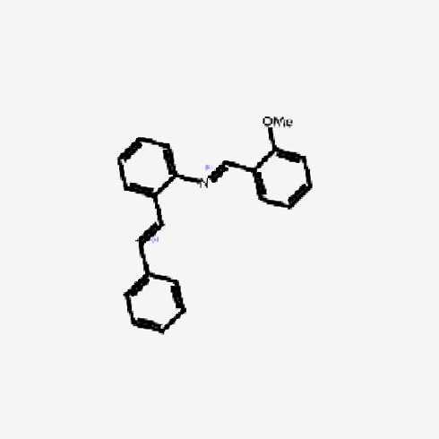 COc1ccccc1/C=N/c1ccccc1/C=C/c1ccccc1